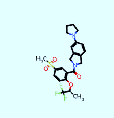 C[C@H](Oc1ccc(S(C)(=O)=O)cc1C(=O)N1Cc2ccc(N3CCCC3)cc2C1)C(F)(F)F